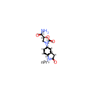 CCCN1C(=O)Cc2cc(N3CC(C(N)=O)OC3=O)ccc21